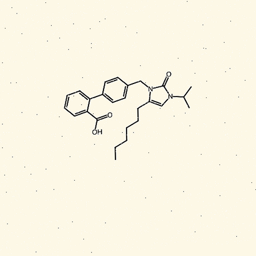 CCCCCCc1cn(C(C)C)c(=O)n1Cc1ccc(-c2ccccc2C(=O)O)cc1